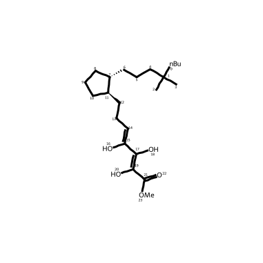 CCCCC(C)(C)CCC[C@H]1CCC[C@@H]1CC/C=C(\O)C(O)=C(O)C(=O)OC